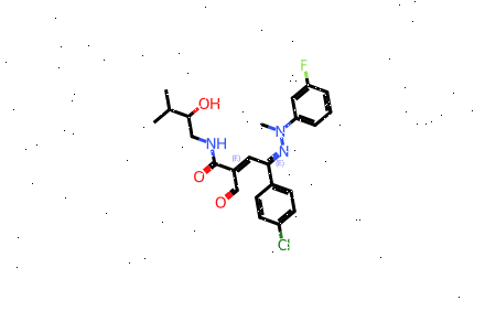 CC(C)C(O)CNC(=O)/C(C=O)=C/C(=N\N(C)c1cccc(F)c1)c1ccc(Cl)cc1